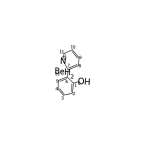 Oc1ccccc1-c1ccccn1.[BeH2]